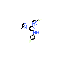 Cc1cc(C)n(Cc2cc(Nc3ccc(F)cc3)nc(-n3ccc(CF)n3)c2)n1